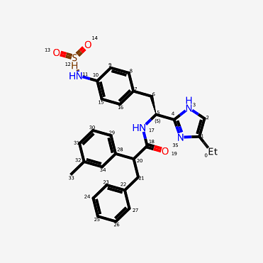 CCc1c[nH]c([C@H](Cc2ccc(N[SH](=O)=O)cc2)NC(=O)C(Cc2ccccc2)c2cccc(C)c2)n1